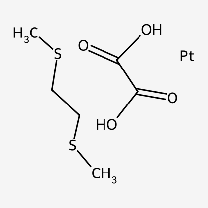 CSCCSC.O=C(O)C(=O)O.[Pt]